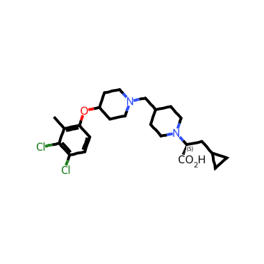 Cc1c(OC2CCN(CC3CCN([C@@H](CC4CC4)C(=O)O)CC3)CC2)ccc(Cl)c1Cl